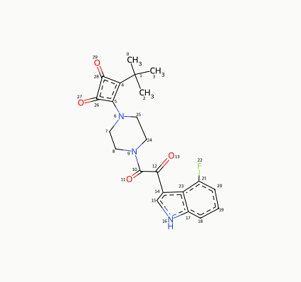 CC(C)(C)c1c(N2CCN(C(=O)C(=O)c3c[nH]c4cccc(F)c34)CC2)c(=O)c1=O